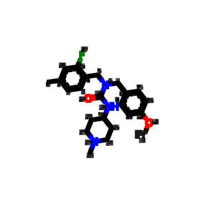 Cc1ccc(CN(Cc2ccc(OC(C)C)cc2)C(=O)NC2CCN(C)CC2)c(F)c1